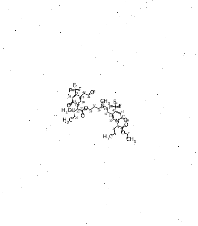 CCCC(C(=O)OCC)n1cc(CCN(C)CCCOC(=O)C([C@H](C)CC)n2cc(CC=O)c(C(F)(F)F)cc2=O)c(C(F)(F)F)cc1=O